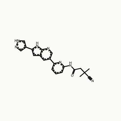 CC(C)(C#N)CC(=O)Nc1cccc(-c2cnc3[nH]c(-c4cn[nH]c4)cc3c2)n1